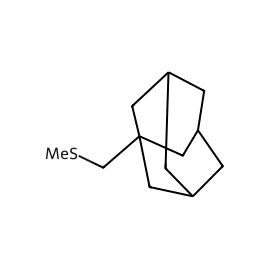 CSCC12CC3CC(CC(C3)C1)C2